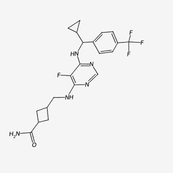 NC(=O)C1CC(CNc2ncnc(NC(c3ccc(C(F)(F)F)cc3)C3CC3)c2F)C1